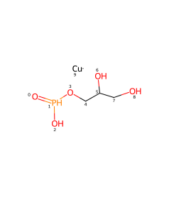 O=[PH](O)OCC(O)CO.[Cu]